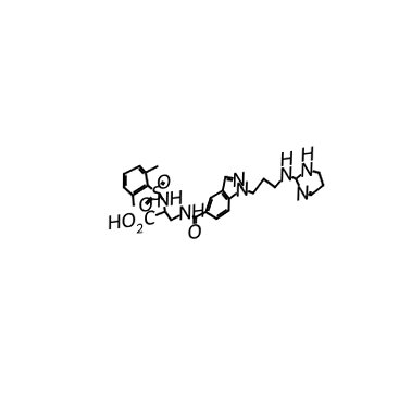 Cc1cccc(C)c1S(=O)(=O)NC(CNC(=O)c1ccc2c(cnn2CCCNC2N=CCCN2)c1)C(=O)O